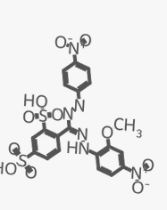 COc1cc([N+](=O)[O-])ccc1N/N=C(/N=N/c1ccc([N+](=O)[O-])cc1)c1ccc(S(=O)(=O)O)cc1S(=O)(=O)O